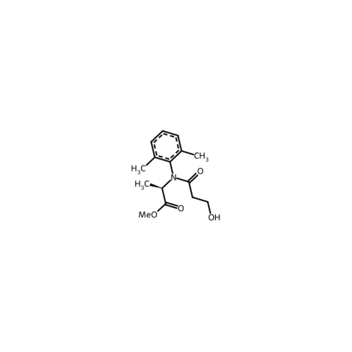 COC(=O)[C@@H](C)N(C(=O)CCO)c1c(C)cccc1C